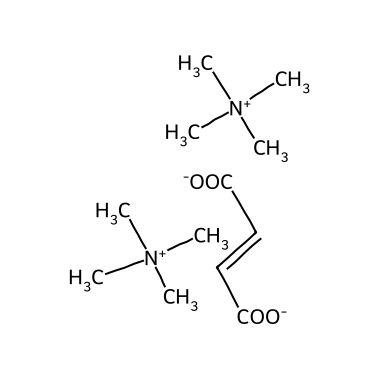 C[N+](C)(C)C.C[N+](C)(C)C.O=C([O-])/C=C/C(=O)[O-]